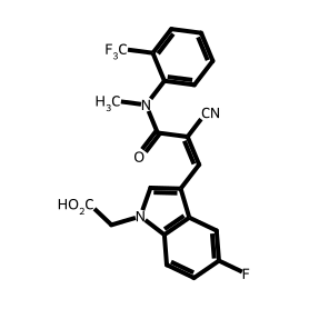 CN(C(=O)C(C#N)=Cc1cn(CC(=O)O)c2ccc(F)cc12)c1ccccc1C(F)(F)F